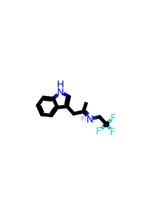 C/C(Cc1c[nH]c2ccccc12)=N\CC(F)(F)F